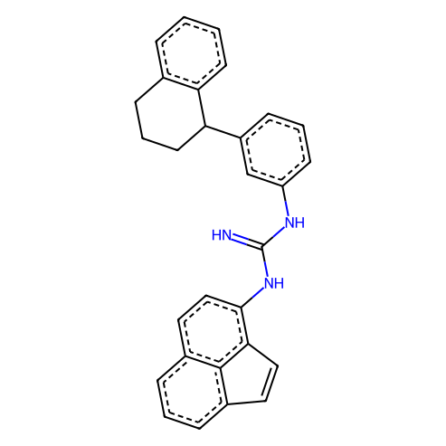 N=C(Nc1cccc(C2CCCc3ccccc32)c1)Nc1ccc2cccc3c2c1C=C3